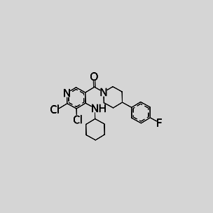 O=C(c1cnc(Cl)c(Cl)c1NC1CCCCC1)N1CCC(c2ccc(F)cc2)CC1